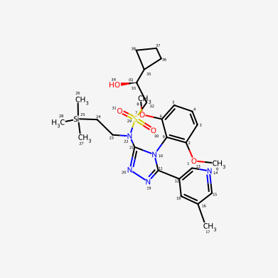 COc1cccc(OC)c1-n1c(-c2cncc(C)c2)nnc1N(CC[Si](C)(C)C)S(=O)(=O)C[C@@H](O)C1CCC1